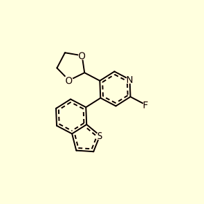 Fc1cc(-c2cccc3ccsc23)c(C2OCCO2)cn1